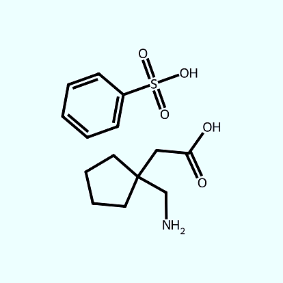 NCC1(CC(=O)O)CCCC1.O=S(=O)(O)c1ccccc1